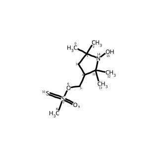 CC1(C)CC(COS(C)(=O)=S)C(C)(C)N1O